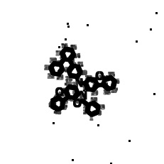 c1ccc(-c2nc3c(N(c4ccc(-c5ccccc5-c5ccccc5)cc4)c4ccc5c(c4)oc4ccccc45)cc4oc5ccccc5c4c3o2)cc1